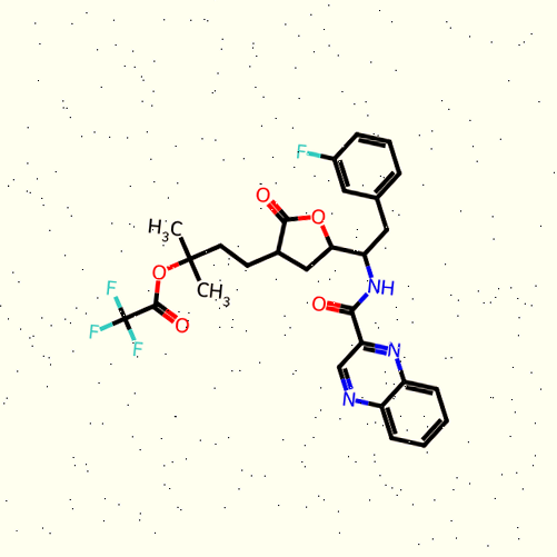 CC(C)(CCC1CC(C(Cc2cccc(F)c2)NC(=O)c2cnc3ccccc3n2)OC1=O)OC(=O)C(F)(F)F